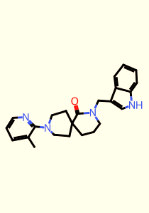 Cc1cccnc1N1CCC2(CCCN(Cc3c[nH]c4ccccc34)C2=O)CC1